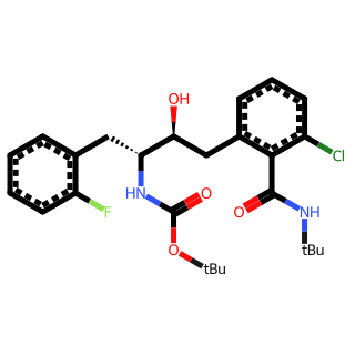 CC(C)(C)NC(=O)c1c(Cl)cccc1C[C@H](O)[C@@H](Cc1ccccc1F)NC(=O)OC(C)(C)C